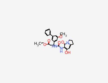 CCOC(=O)C[C@H](NC(=O)Nc1c(O)cc2n(c1=O)CCC2)c1cc(OC)cc(-c2ccccc2)c1